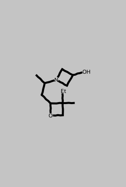 CCC1(C)COC1CC(C)N1CC(O)C1